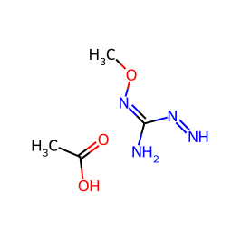 CC(=O)O.CON=C(N)N=N